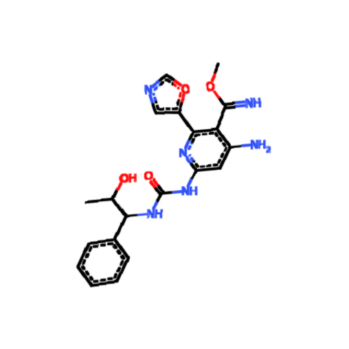 COC(=N)c1c(N)cc(NC(=O)NC(c2ccccc2)C(C)O)nc1-c1cnco1